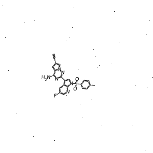 C#Cc1cc2c(N)nc(-c3cn(S(=O)(=O)c4ccc(C)cc4)c4ncc(F)cc34)nn2c1